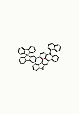 c1ccc(N(c2ccc(-c3ccc4c(c3)C3(c5ccccc5-c5ccccc53)c3ccccc3-4)cc2)c2cccc3ccccc23)c(-c2ccc3c(c2)sc2ccccc23)c1